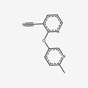 Cc1ccc(Oc2ncccc2C#N)cn1